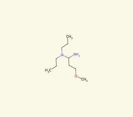 CCCN(CCC)C(N)CCOC